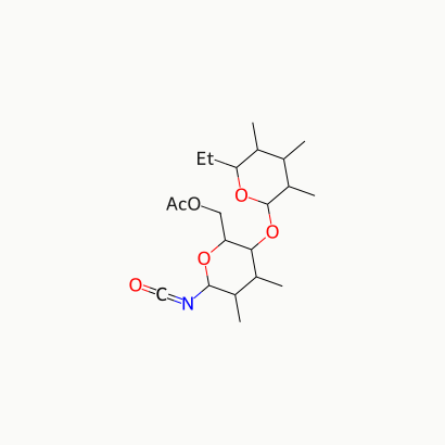 CCC1OC(OC2C(COC(C)=O)OC(N=C=O)C(C)C2C)C(C)C(C)C1C